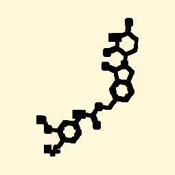 CCOc1cc(NC(=O)OCc2ccc3c(c2)C(=O)N(C2CCC(=O)NC2=O)C3)ccc1C